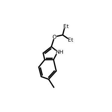 CCC(CC)Oc1cc2ccc(C)cc2[nH]1